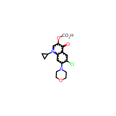 O=C(O)Oc1cn(C2CC2)c2cc(N3CCOCC3)c(Cl)cc2c1=O